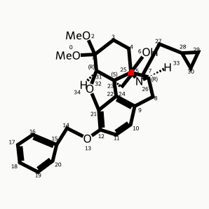 COC1(OC)CCC2(O)[C@H]3Cc4ccc(OCc5ccccc5)c5c4[C@@]2(CCN3CC2CC2)[C@H]1O5